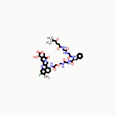 Cc1c(F)cc2nc3c(c4c2c1CC[C@@H]4NC(=O)COCNC(=O)CNC(=O)[C@H](Cc1ccccc1)NC(=O)CNC(=O)CNC(=O)CCC(=O)C(C)C)Cn1c-3cc2c(c1=O)COC(=O)[C@H]2O